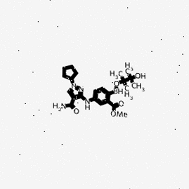 COC(=O)c1cc(Nc2nn(C3CCCC3)cc2C(N)=O)ccc1BOC(C)(C)C(C)(C)O